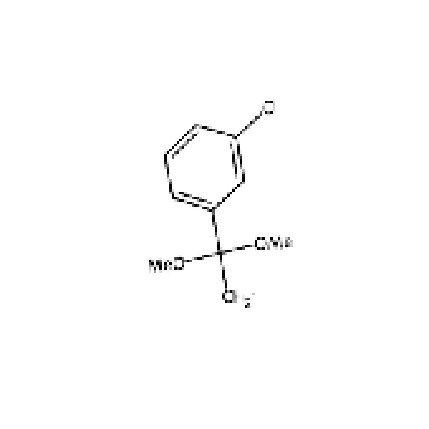 [CH2]C(OC)(OC)c1cccc(Cl)c1